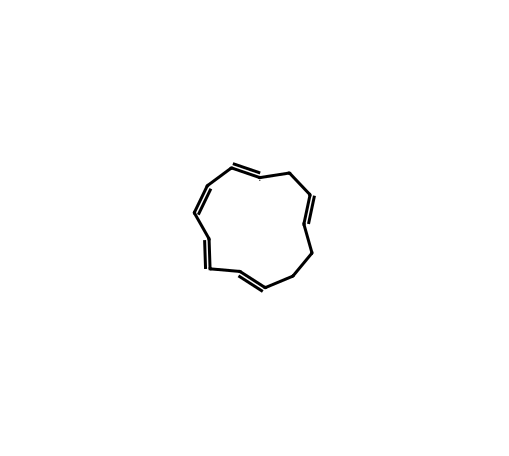 [C]1=C/C=C\C=C\C=C\CC/C=C/C/1